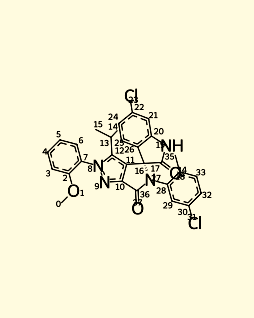 COc1ccccc1-n1nc2c(c1C(C)C)[C@@]1(C(=O)Nc3cc(Cl)ccc31)N(c1cc(Cl)ccc1C)C2=O